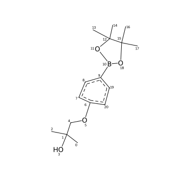 CC(C)(O)COc1ccc(B2OC(C)(C)C(C)(C)O2)cc1